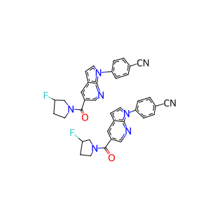 N#Cc1ccc(-n2ccc3cc(C(=O)N4CCC(F)C4)cnc32)cc1.N#Cc1ccc(-n2ccc3cc(C(=O)N4CCC(F)C4)cnc32)cc1